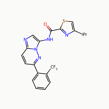 CC(C)c1csc(C(=O)Nc2cnc3ccc(-c4ccccc4C(F)(F)F)nn23)n1